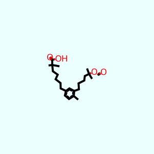 Cc1ccc(CCCCCC(C)(C)C(=O)O)cc1CCCCC(C)(C)OC=O